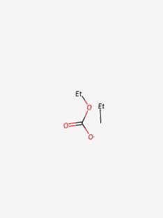 CCC.CCOC([O])=O